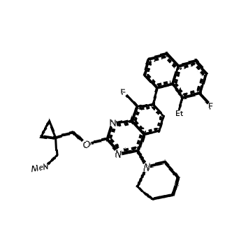 CCc1c(F)ccc2cccc(-c3ccc4c(N5CCCCC5)nc(OCC5(CNC)CC5)nc4c3F)c12